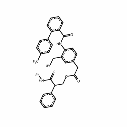 CCNC(=O)C(COC(=O)Cc1ccc(NC(=O)c2ccccc2-c2ccc(C(F)(F)F)cc2)c(CC(C)C)c1)c1ccccc1